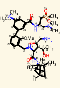 COc1c(CN2O[C@@H](CN)[C@@H]([C@H](C)O)[C@H]2C(=O)N[C@H]2C[C@H]3CC([C@@H]2C)C3(C)C)cccc1-c1cc(C(=O)N[C@H](CN(C)C)CS(C)(=O)=O)cc(N(C)C)c1